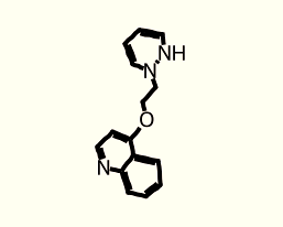 C1=CNN(CCOc2ccnc3ccccc23)C=C1